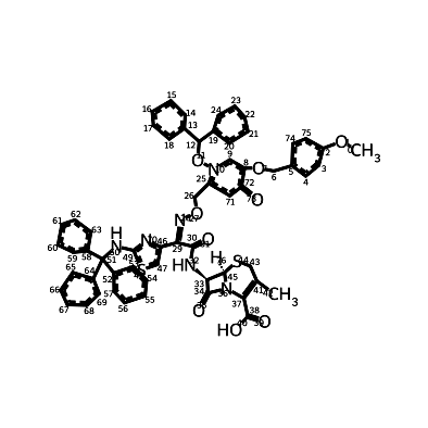 COc1ccc(COc2cn(OC(c3ccccc3)c3ccccc3)c(CO/N=C(\C(=O)N[C@@H]3C(=O)N4C(C(=O)O)=C(C)CS[C@H]34)c3csc(NC(c4ccccc4)(c4ccccc4)c4ccccc4)n3)cc2=O)cc1